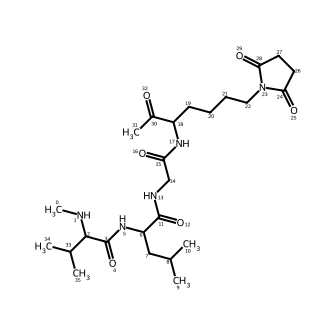 CNC(C(=O)NC(CC(C)C)C(=O)NCC(=O)NC(CCCCN1C(=O)CCC1=O)C(C)=O)C(C)C